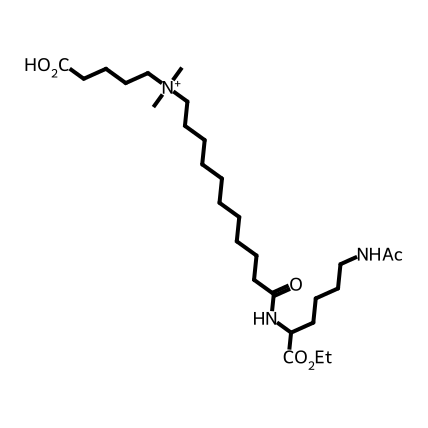 CCOC(=O)C(CCCCNC(C)=O)NC(=O)CCCCCCCCCC[N+](C)(C)CCCCC(=O)O